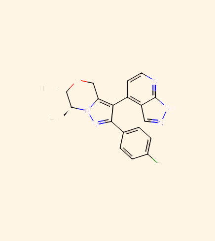 C[C@@H]1OCc2c(-c3ccnc4[nH]ncc34)c(-c3ccc(F)cc3)nn2[C@H]1C